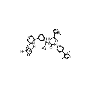 Cc1cnn(C)c1-c1ccc(NC(=O)[C@@H](NC(=O)c2ccnn2C)[C@@H](c2cccc(-c3cncc(N4C[C@@H]5C[C@H]4CO5)n3)c2)C2CC2)cc1